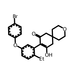 CCc1ccc(Oc2ccc(Br)cc2)cc1C1=C(O)CC2(CCOCC2)CC1=O